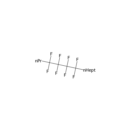 CCCCCCCC(F)(F)C(F)(F)C(F)(F)C(F)(F)CCC